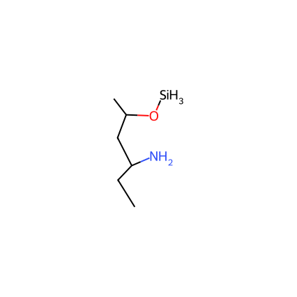 CCC(N)CC(C)O[SiH3]